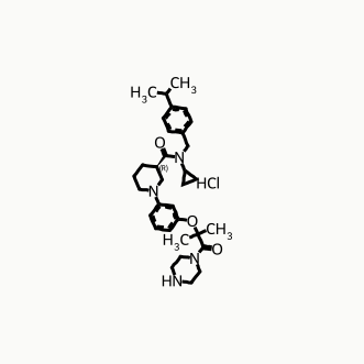 CC(C)c1ccc(CN(C(=O)[C@@H]2CCCN(c3cccc(OC(C)(C)C(=O)N4CCNCC4)c3)C2)C2CC2)cc1.Cl